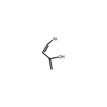 C=C(O)/C=C\C(C)=O